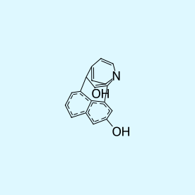 OC1=C2c3cc(O)cc4cccc(c34)C1C1=CCN2C=C1